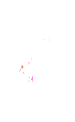 CCCCCCCCCCOC(=O)CO[P](=O)Oc1ccc([N+](=O)[O-])cc1